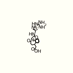 N=C(N)Nc1ncc(CNC(=O)CN2C(=O)CCC(CC(=O)O)c3ccccc32)s1